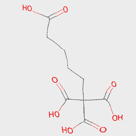 O=C(O)CCCCC(C(=O)O)(C(=O)O)C(=O)O